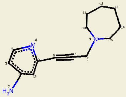 Nc1ccnc(C#CCN2CCCCCC2)c1